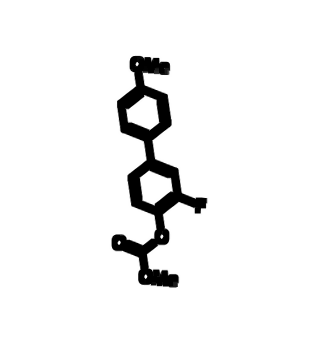 COC(=O)Oc1ccc(-c2ccc(OC)cc2)cc1F